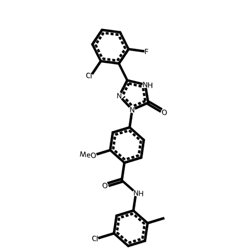 COc1cc(-n2nc(-c3c(F)cccc3Cl)[nH]c2=O)ccc1C(=O)Nc1cc(Cl)ccc1C